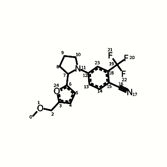 COCc1ccc(C2CCCN2c2ccc(C#N)c(C(F)(F)F)c2)o1